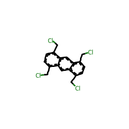 ClCc1ccc(CCl)c2cc3c(CCl)ccc(CCl)c3cc12